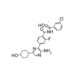 C[C@@H](O)[C@@H](NC(=O)c1ccc(-c2nc(C3CCC(O)CC3)cnc2N)cc1F)c1cccc(Cl)c1